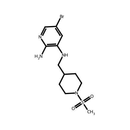 CS(=O)(=O)N1CCC(CNc2cc(Br)cnc2N)CC1